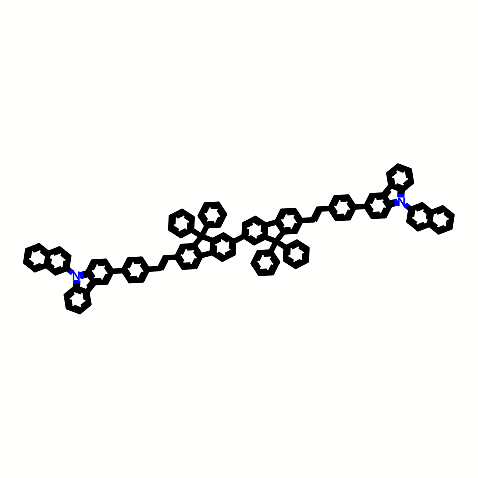 C(=C\c1ccc2c(c1)C(c1ccccc1)(c1ccccc1)c1cc(-c3ccc4c(c3)C(c3ccccc3)(c3ccccc3)c3cc(/C=C/c5ccc(-c6ccc7c(c6)c6ccccc6n7-c6ccc7ccccc7c6)cc5)ccc3-4)ccc1-2)/c1ccc(-c2ccc3c(c2)c2ccccc2n3-c2ccc3ccccc3c2)cc1